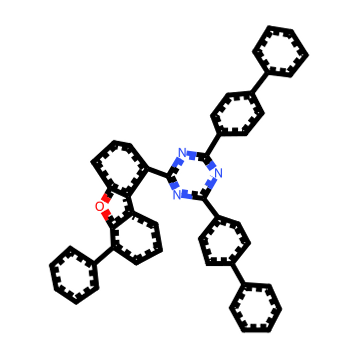 c1ccc(-c2ccc(-c3nc(-c4ccc(-c5ccccc5)cc4)nc(-c4cccc5oc6c(-c7ccccc7)cccc6c45)n3)cc2)cc1